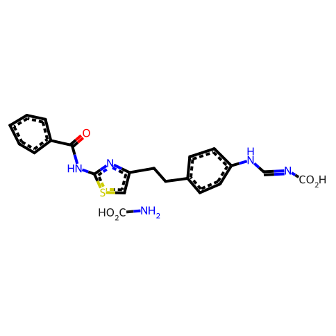 NC(=O)O.O=C(O)N=CNc1ccc(CCc2csc(NC(=O)c3ccccc3)n2)cc1